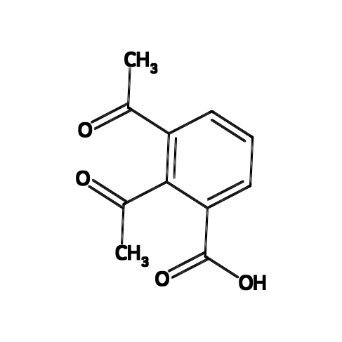 CC(=O)c1cccc(C(=O)O)c1C(C)=O